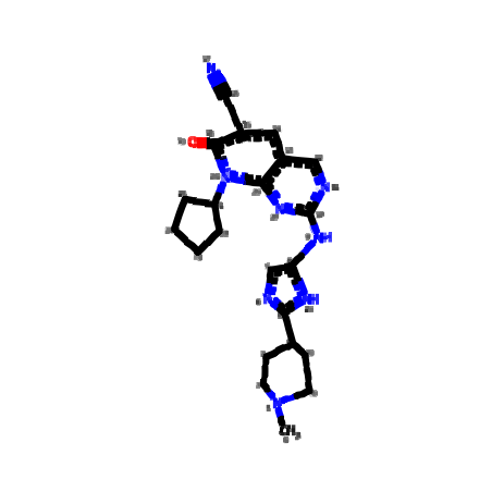 CN1CCC(c2ncc(Nc3ncc4cc(C#N)c(=O)n(C5CCCC5)c4n3)[nH]2)CC1